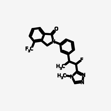 CC(c1cccc(N2Cc3c(cccc3C(F)(F)F)C2=O)c1)C(F)c1nncn1C